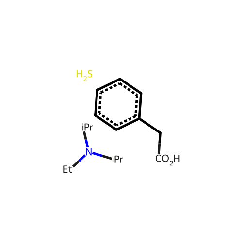 CCN(C(C)C)C(C)C.O=C(O)Cc1ccccc1.S